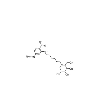 [N-]=[N+]=Nc1ccc([N+](=O)[O-])c(NCCCCCCN2CC(O)C(O)C(O)C2CO)c1